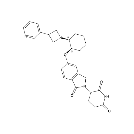 O=C1CCC(N2Cc3cc(O[C@@H]4CCCC[C@@H]4N4CC(c5cccnc5)C4)ccc3C2=O)C(=O)N1